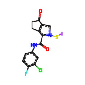 O=C1CCc2c1cn(SI)c2C(=O)Nc1ccc(F)c(Cl)c1